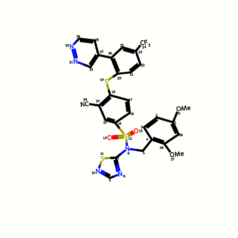 COc1ccc(CN(c2ncns2)S(=O)(=O)c2ccc(Sc3ccc(C(F)(F)F)cc3-c3ccnnc3)c(C#N)c2)c(OC)c1